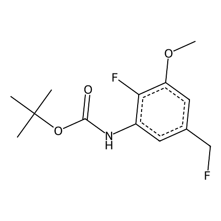 COc1cc(CF)cc(NC(=O)OC(C)(C)C)c1F